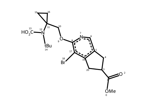 COC(=O)C1Cc2cnc(OCC3(N(C(=O)O)C(C)(C)C)CC3)c(Br)c2C1